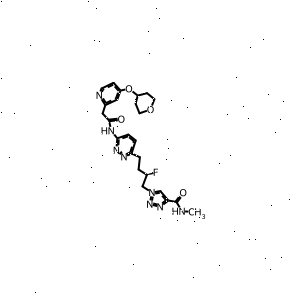 CNC(=O)c1cn(C[C@H](F)CCc2ccc(NC(=O)Cc3cc(OC4CCOCC4)ccn3)nn2)nn1